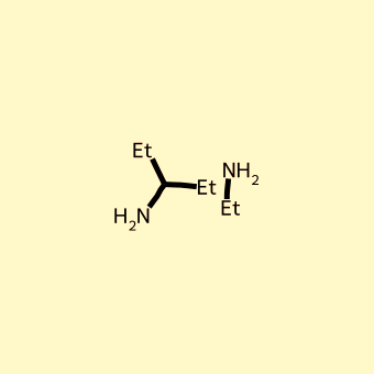 CCC(N)CC.CCN